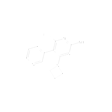 Cc1nc(N)nc(N2CCC2)c1-c1cccnc1